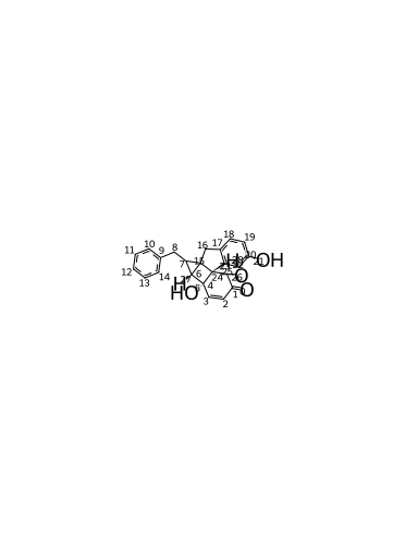 O=C1C=C[C@@]2(O)[C@@H]3C(Cc4ccccc4)C34Cc3ccc(O)c5c3[C@]42[C@H]1O5